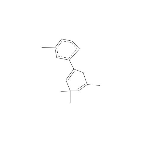 CC1=CC(C)(C)C=C(c2cccc(C)c2)C1